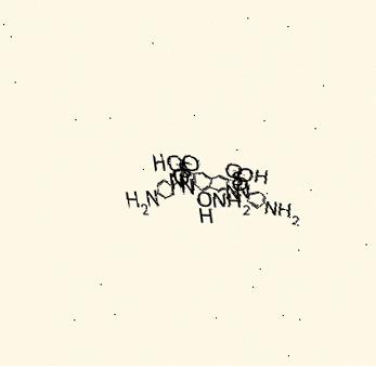 Nc1ccc(/N=N/c2c(S(=O)(=O)O)cc3cc(S(=O)(=O)O)c(/N=N/c4ccc(N)cc4)c(O)c3c2N)cc1